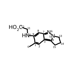 Cc1cc2c3n(nc2cc1NCC(=O)O)CCC3